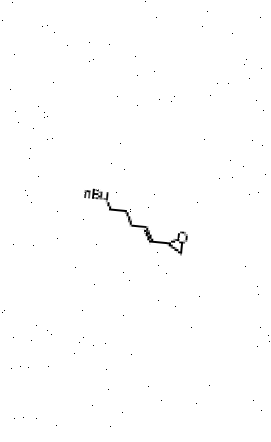 CCCCCCCC=CC1CO1